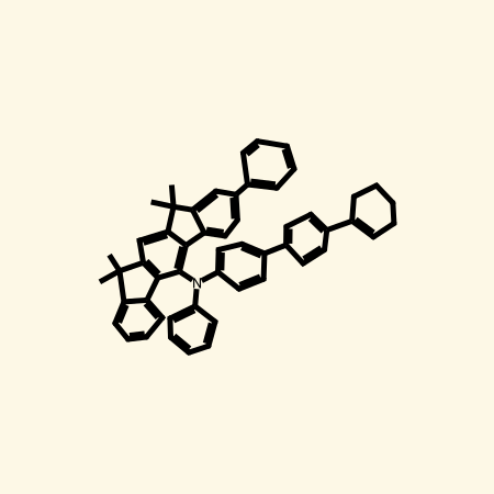 CC1(C)c2ccccc2-c2c1cc1c(c2N(c2ccccc2)c2ccc(-c3ccc(C4=CCCCC4)cc3)cc2)-c2ccc(-c3ccccc3)cc2C1(C)C